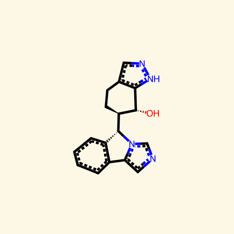 O[C@H]1c2[nH]ncc2CC[C@@H]1[C@H]1c2ccccc2-c2cncn21